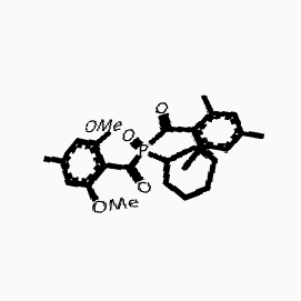 COc1cc(C)cc(OC)c1C(=O)P(=O)(C(=O)c1c(C)cc(C)cc1C)C1CCCCC1